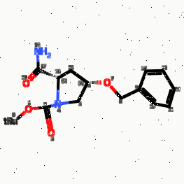 CC(C)(C)OC(=O)N1C[C@@H](OCc2ccccc2)C[C@H]1C(N)=O